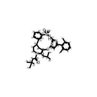 Cc1cccc(C)c1-c1cc2nc(n1)NS(=O)(=O)c1cccc(c1)C1CCN(C(=O)CC(C)(C)C)[C@H](CC(C)C)[C@H](C1)O2